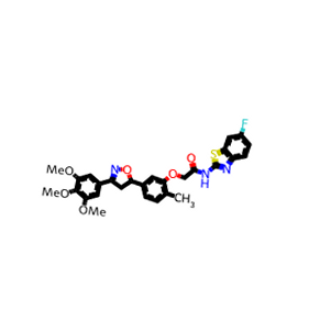 COc1cc(C2=NOC(c3ccc(C)c(OCC(=O)Nc4nc5ccc(F)cc5s4)c3)C2)cc(OC)c1OC